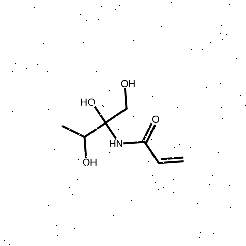 C=CC(=O)NC(O)(CO)C(C)O